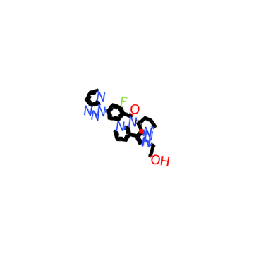 O=C(c1ccc(-n2nnc3cccnc32)cc1F)N(c1ncccc1-c1cnn(CCO)c1)[C@@H]1CCCNC1